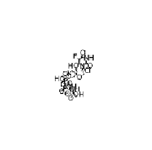 O=c1[nH]c(=O)n([C@@]2(Cl)CO[C@](CCl)(COP(=O)(O)OP(=O)(O)OP(=O)(O)O)[C@H]2O)cc1F